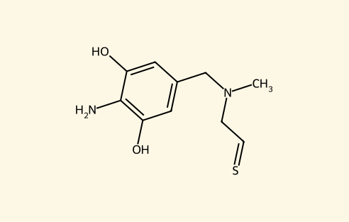 CN(CC=S)Cc1cc(O)c(N)c(O)c1